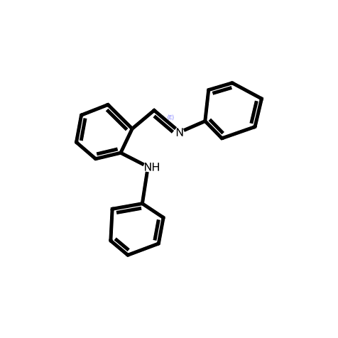 C(=N\c1ccccc1)/c1ccccc1Nc1ccccc1